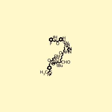 Cc1ncsc1-c1ccc(CNC(=O)C2C[C@@H](O)CN2C(=O)[C@@H](NCC(C=O)CCCCC(=O)NCCCn2c(CNc3cccc(C(=O)NCc4c(F)cccc4F)c3)nnc2-c2ccncn2)C(C)(C)C)cc1